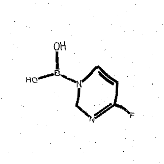 OB(O)N1C=CC(F)=NC1